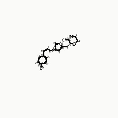 O=C1NCCO[C@H]1Cc1cn(C/C=C\c2ccc(Br)cc2)cn1